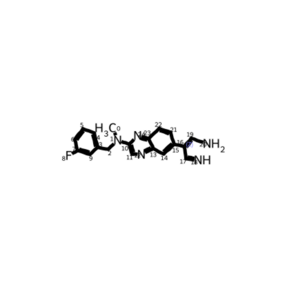 CN(Cc1cccc(F)c1)c1cnc2cc(/C(C=N)=C/N)ccc2n1